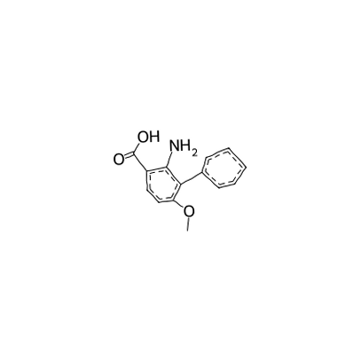 COc1ccc(C(=O)O)c(N)c1-c1ccccc1